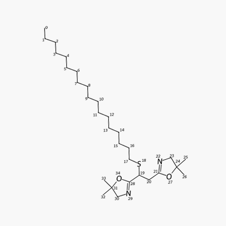 CCCCCCCCCCCCCCCCCCSC(CC1=NCC(C)(C)O1)C1=NCC(C)(C)O1